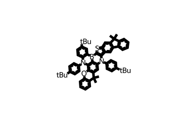 CC(C)(C)c1ccc(N2c3ccc(C(C)(C)C)cc3B3c4sc5cc6c(cc5c4N(c4ccc(C(C)(C)C)cc4)c4cc5c(c2c43)Oc2ccccc2C5(C)C)-c2ccccc2C6(C)C)cc1